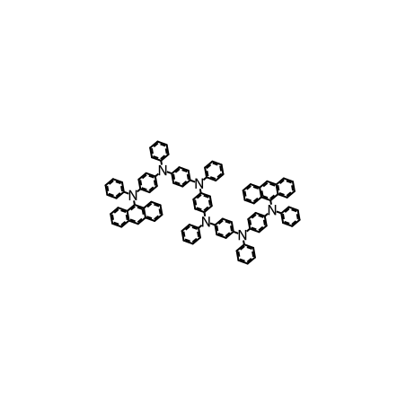 c1ccc(N(c2ccc(N(c3ccccc3)c3ccc(N(c4ccccc4)c4ccc(N(c5ccccc5)c5c6ccccc6cc6ccccc56)cc4)cc3)cc2)c2ccc(N(c3ccccc3)c3ccc(N(c4ccccc4)c4c5ccccc5cc5ccccc45)cc3)cc2)cc1